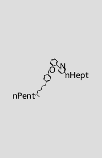 CCCCCCCc1ccc(-c2ccccc2OCc2ccc(CCCC[C@@H](C)CCCCC)cc2)nc1